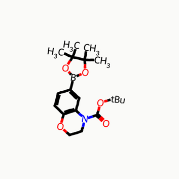 CC(C)(C)OC(=O)N1CCOc2ccc(B3OC(C)(C)C(C)(C)O3)cc21